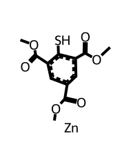 COC(=O)c1cc(C(=O)OC)c(S)c(C(=O)OC)c1.[Zn]